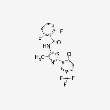 Cc1nc(-c2cc(C(F)(F)F)ccc2Cl)sc1NC(=O)c1c(F)cccc1F